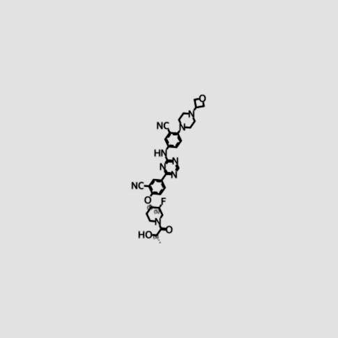 C[C@H](O)C(=O)N1CC[C@H](Oc2ccc(-c3ncnc(Nc4ccc(N5CCN(C6COC6)CC5)c(C#N)c4)n3)cc2C#N)[C@@H](F)C1